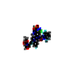 Cn1nc(NS(C)(=O)=O)c2c(Cl)ccc(-c3ccc(C#C[C@@H]4COC(C)(C)N4C(=O)OC(C)(C)C)nc3[C@H](Cc3cc(F)cc(F)c3)NC(=O)Cn3nc(C(F)F)c4c3C(F)(F)C3C[C@H]43)c21